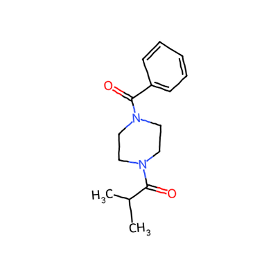 CC(C)C(=O)N1CCN(C(=O)c2ccccc2)CC1